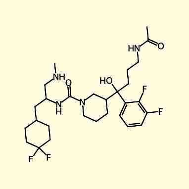 CNCC(CC1CCC(F)(F)CC1)NC(=O)N1CCCC(C(O)(CCCNC(C)=O)c2cccc(F)c2F)C1